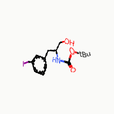 CC(C)(C)OC(=O)NC(CO)Cc1cccc(I)c1